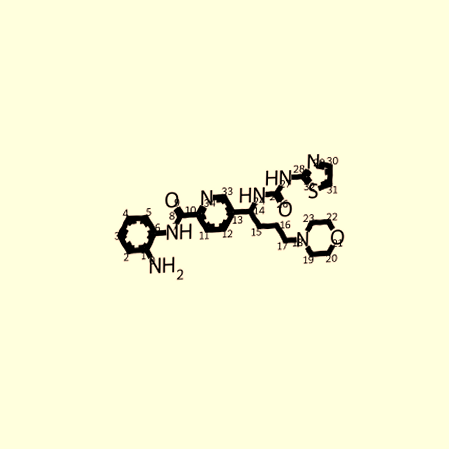 Nc1ccccc1NC(=O)c1ccc(C(CCCN2CCOCC2)NC(=O)Nc2nccs2)cn1